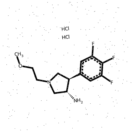 COCCN1C[C@@H](N)[C@H](c2cc(F)c(F)c(F)c2)C1.Cl.Cl